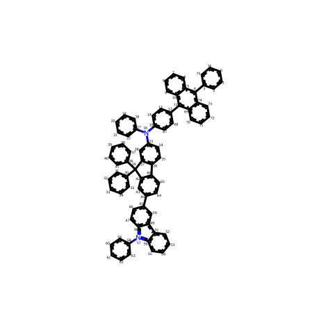 c1ccc(-c2c3ccccc3c(-c3ccc(N(c4ccccc4)c4ccc5c(c4)C(c4ccccc4)(c4ccccc4)c4cc(-c6ccc7c(c6)c6ccccc6n7-c6ccccc6)ccc4-5)cc3)c3ccccc23)cc1